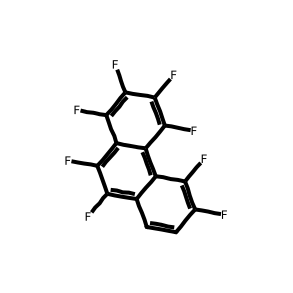 Fc1ccc2c(F)c(F)c3c(F)c(F)c(F)c(F)c3c2c1F